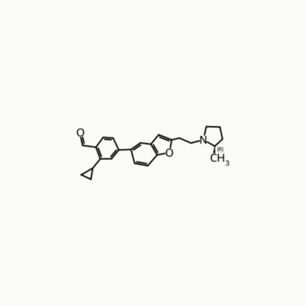 C[C@@H]1CCCN1CCc1cc2cc(-c3ccc(C=O)c(C4CC4)c3)ccc2o1